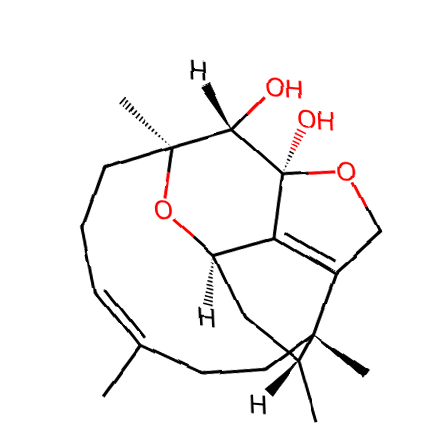 C/C1=C/CC[C@]2(C)O[C@@H]3C[C@@H](C)[C@](C)(CC1)C1=C3[C@](O)(OC1)[C@H]2O